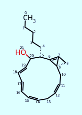 CCCCC[C@@H]1C2=C3C[C@@]32C/C=C\C\C=C/C=C/C=C/C1O